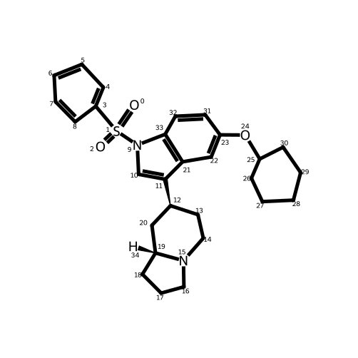 O=S(=O)(c1ccccc1)n1cc([C@H]2CCN3CCC[C@@H]3C2)c2cc(OC3CCCCC3)ccc21